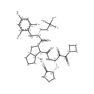 O=C(N[C@@H](C[C@@H]1CCNC1=O)C(=O)C(=O)N1CCC1)C1[C@H]2CCCC2CN1C(=O)[C@@H](CCC(F)(F)F)Nc1c(F)cc(F)cc1F